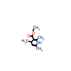 CCOC(=O)C1=C(C)NC(C)=CC1C